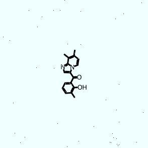 Cc1cccc(C(=O)c2cnc3c(C)c(C)ccn23)c1O